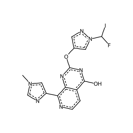 Cn1cnc(-c2nccc3c(O)nc(Oc4cnn(C(F)I)c4)nc23)c1